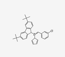 CC(C)(C)c1ccc2c(c1)-c1cc(C(C)(C)C)ccc1[CH]2[Zr](=[CH]c1cccc(Cl)c1)[CH]1C=CC=C1